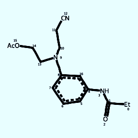 CCC(=O)Nc1cccc(N(CCC#N)CCOC(C)=O)c1